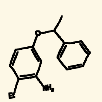 CCc1ccc(OC(C)c2ccccc2)cc1N